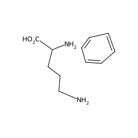 NCCCC(N)C(=O)O.c1ccccc1